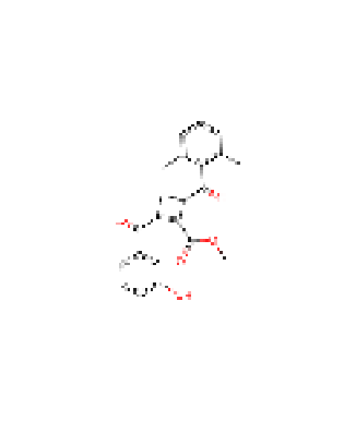 COC(=O)C1=C(C(=O)c2cccc(O)c2)CC1C(=O)c1c(C)cccc1C